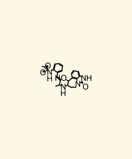 CC(C=Cc1ccccc1NS(C)(=O)=O)NC1CCn2c(=O)[nH]c3cccc(c32)C1O